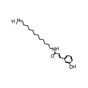 NCCCCCCCCCCCCNC(=O)C=Cc1cccc(O)c1